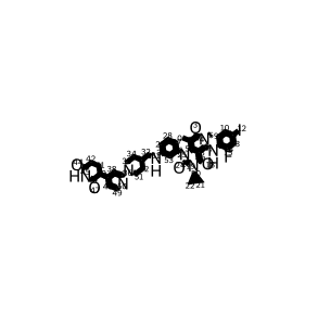 Cc1c(=O)n(C)c(Nc2ccc(I)cc2F)c2c(=O)n(C3CC3)c(=O)n(-c3cccc(NCC4CCN(c5cc(C6CCC(=O)NC6=O)ccn5)CC4)c3)c12